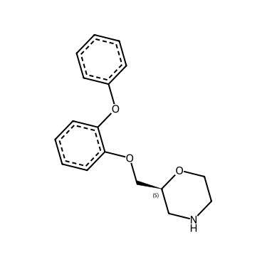 c1ccc(Oc2ccccc2OC[C@@H]2CNCCO2)cc1